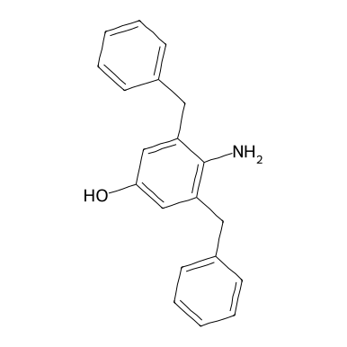 Nc1c(Cc2ccccc2)cc(O)cc1Cc1ccccc1